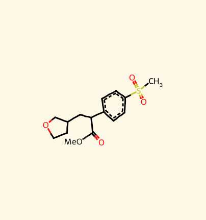 COC(=O)C(CC1CCOC1)c1ccc(S(C)(=O)=O)cc1